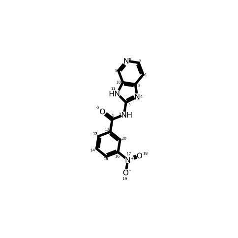 O=C(Nc1nc2ccncc2[nH]1)c1cccc([N+](=O)[O-])c1